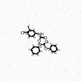 Cc1cc(NC(=O)ON(C(=O)Oc2ccccc2)c2ccccc2)ccc1Cl